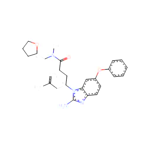 C=C(C)C[C@H](CCC(=O)N(C)C[C@@H]1CCCO1)n1c(N)nc2ccc(Oc3ccccc3)cc21